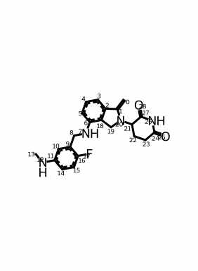 C=C1c2cccc(NCc3cc(NC)ccc3F)c2CN1C1CCC(=O)NC1=O